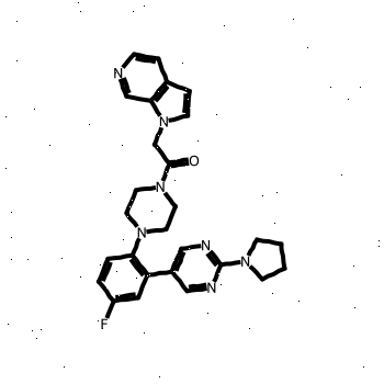 O=C(Cn1ccc2ccncc21)N1CCN(c2ccc(F)cc2-c2cnc(N3CCCC3)nc2)CC1